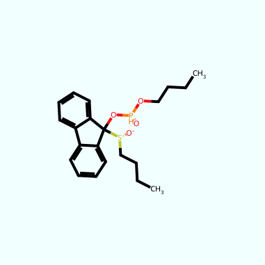 CCCCO[PH](=O)OC1([S+]([O-])CCCC)c2ccccc2-c2ccccc21